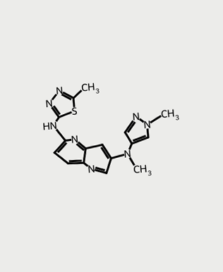 Cc1nnc(Nc2ccc3ncc(N(C)c4cnn(C)c4)cc3n2)s1